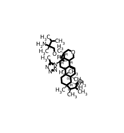 Cc1nnnn1[C@@H]1C[C@@]23COC[C@@](C)([C@@H]2CC[C@H]2C3=CC[C@@]3(C)[C@H](C(=O)O)[C@@](C)([C@H](C)C(C)C)CC[C@]23C)[C@H]1OC[C@](C)(N)C(C)C